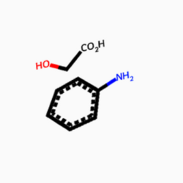 Nc1ccccc1.O=C(O)CO